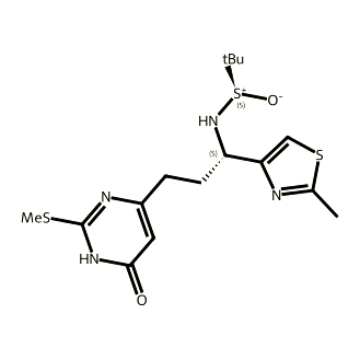 CSc1nc(CC[C@H](N[S@+]([O-])C(C)(C)C)c2csc(C)n2)cc(=O)[nH]1